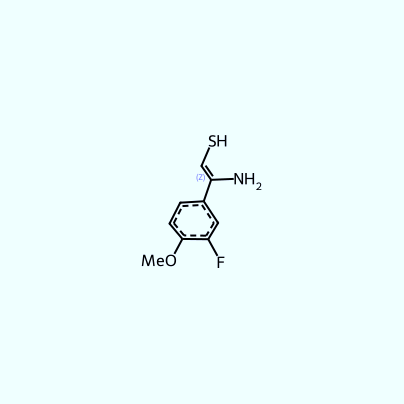 COc1ccc(/C(N)=C/S)cc1F